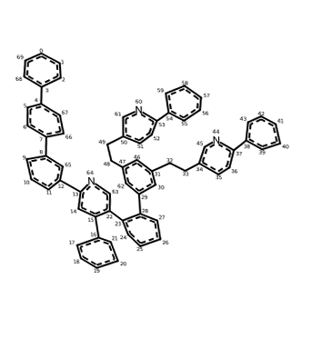 c1ccc(-c2ccc(-c3cccc(-c4cc(-c5ccccc5)c(-c5ccccc5-c5cc(CCc6ccc(-c7ccccc7)nc6)cc(CCc6ccc(-c7ccccc7)nc6)c5)cn4)c3)cc2)cc1